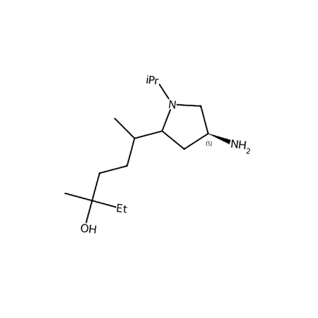 CCC(C)(O)CCC(C)C1C[C@H](N)CN1C(C)C